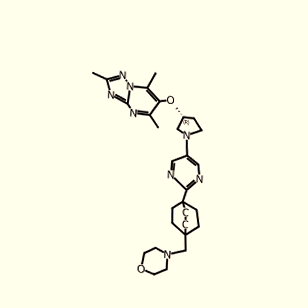 Cc1nc2nc(C)c(O[C@@H]3CCN(c4cnc(C56CCC(CN7CCOCC7)(CC5)CC6)nc4)C3)c(C)n2n1